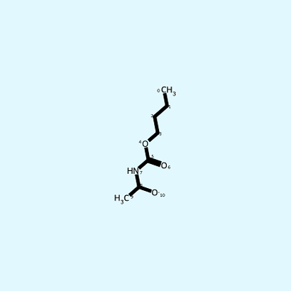 CCCCOC(=O)NC(C)[O]